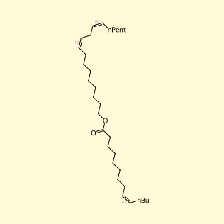 CCCC/C=C\CCCCCCCC(=O)OCCCCCCCC/C=C\C/C=C\CCCCC